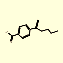 C=C(CCCC)c1ccc(C(=O)O)cc1